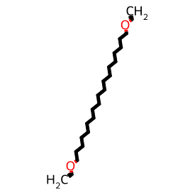 C=COCCCCCCCCCCCCCCCCCCCOC=C